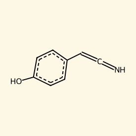 N=C=Cc1ccc(O)cc1